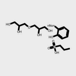 CCCCCCCCCc1ccccc1O.CCCS(=O)(=O)O.OCC(O)COCC(O)CO